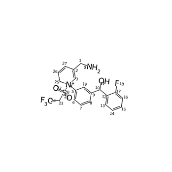 NCC1=C[N+](c2cccc(C(O)c3ccccc3F)c2)(S(=O)(=O)CC(F)(F)F)CC=C1